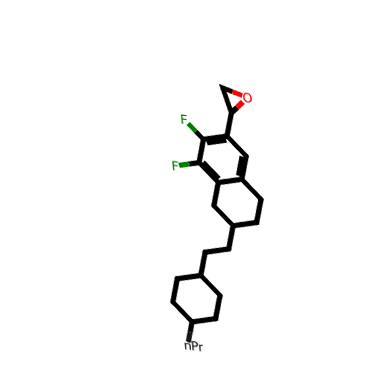 CCCC1CCC(CCC2CCc3cc(C4CO4)c(F)c(F)c3C2)CC1